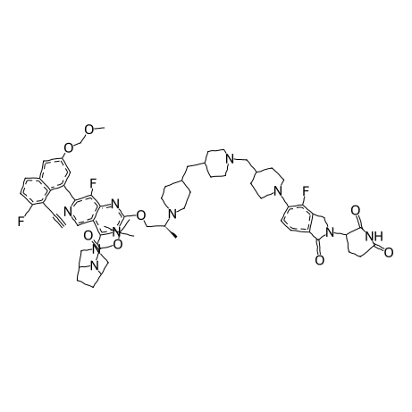 C#Cc1c(F)ccc2cc(OCOC)cc(-c3ncc4c(N5CC6CCC(C5)N6C(=O)OC(C)(C)C)nc(OC[C@H](C)N5CCC(CC6CCN(CC7CCN(c8ccc9c(c8F)CN(C8CCC(=O)NC8=O)C9=O)CC7)CC6)CC5)nc4c3F)c12